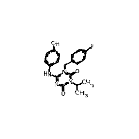 CC(C)n1c(=O)nc(Nc2ccc(O)cc2)n(Cc2ccc(F)cc2)c1=O